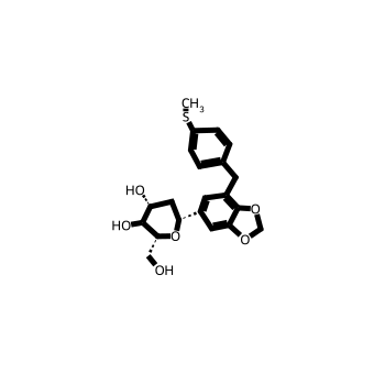 CSc1ccc(Cc2cc([C@H]3C[C@@H](O)C(O)[C@@H](CO)O3)cc3c2OCO3)cc1